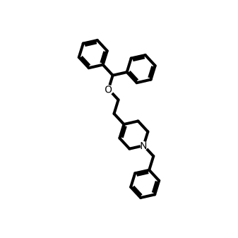 C1=C(CCOC(c2ccccc2)c2ccccc2)CCN(Cc2ccccc2)C1